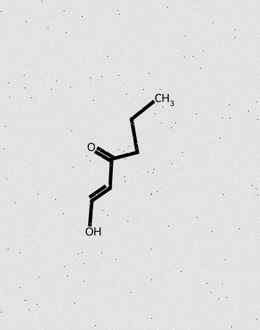 CCCC(=O)/C=C/O